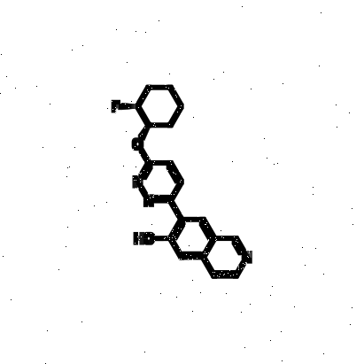 Oc1cc2ccncc2cc1-c1ccc(O[C@@H]2CCCC[C@@H]2F)nn1